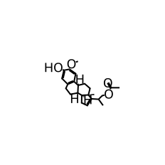 COc1cc2c(cc1O)CC[C@@H]1[C@@H]2CC[C@]2(C)C(C(C)COC(C)=O)=CC[C@@H]12